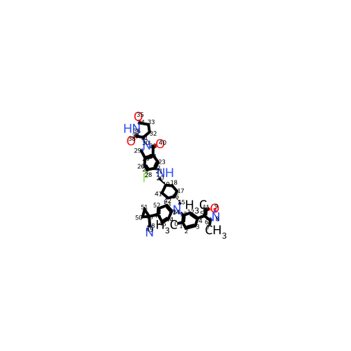 Cc1ccc(-c2c(C)noc2C)cc1N(C[C@H]1CC[C@H](CNc2cc3c(cc2F)CN(C2CCC(=O)NC2=O)C3=O)CC1)c1ccc(C2(C#N)CC2)cc1